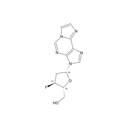 OC[C@H]1O[C@@H](n2cnc3c2ncn2ccnc32)C[C@@H]1F